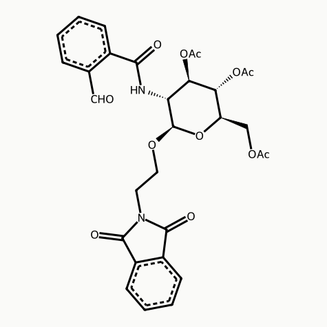 CC(=O)OC[C@H]1O[C@@H](OCCN2C(=O)c3ccccc3C2=O)[C@H](NC(=O)c2ccccc2C=O)[C@@H](OC(C)=O)[C@@H]1OC(C)=O